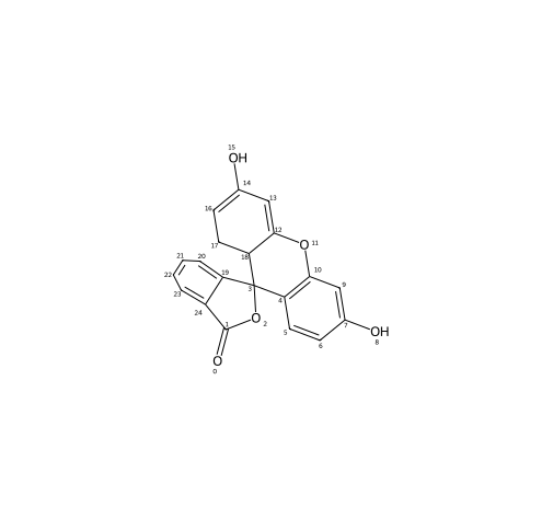 O=C1OC2(c3ccc(O)cc3OC3=CC(O)=CCC32)c2ccccc21